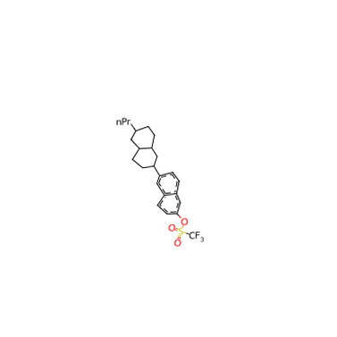 CCCC1CCC2CC(c3ccc4cc(OS(=O)(=O)C(F)(F)F)ccc4c3)CCC2C1